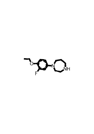 CCOc1ccc(N2CCCNCC2)cc1F